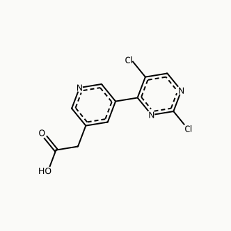 O=C(O)Cc1cncc(-c2nc(Cl)ncc2Cl)c1